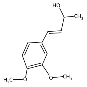 COc1ccc(C=CC(C)O)cc1OC